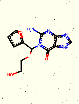 Nc1nc2nc[nH]c2c(=O)n1C(OCCO)c1ccco1